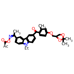 CCn1c2ccc(C(=O)c3ccc(OCC4COC(C)(C)O4)cc3C)cc2c2cc(/C(C)=N\OC(=O)C(C)=O)ccc21